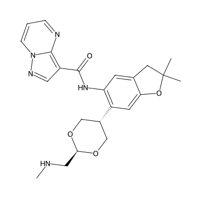 CNC[C@H]1OC[C@H](c2cc3c(cc2NC(=O)c2cnn4cccnc24)CC(C)(C)O3)CO1